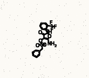 [2H][C@@]1(c2ccccc2C(F)(F)F)OC(N)=C(OS(=O)(=O)Cc2ccccc2)C1=O